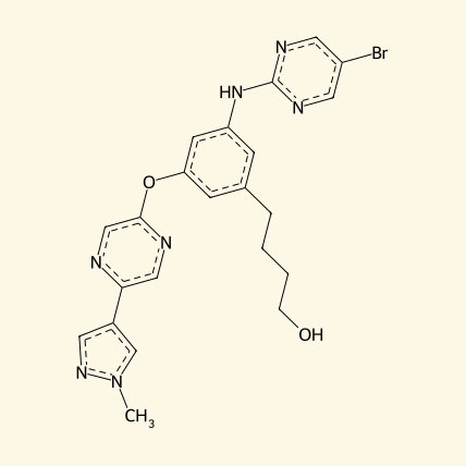 Cn1cc(-c2cnc(Oc3cc(CCCCO)cc(Nc4ncc(Br)cn4)c3)cn2)cn1